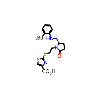 CC(C)(C)c1ccccc1NC[C@H]1CCC(=O)N1CCSc1nc(C(=O)O)cs1